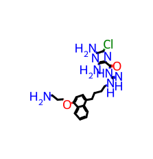 N=C(NCCCCc1ccc(OCCCN)c2ccccc12)NC(=O)c1nc(Cl)c(N)nc1N